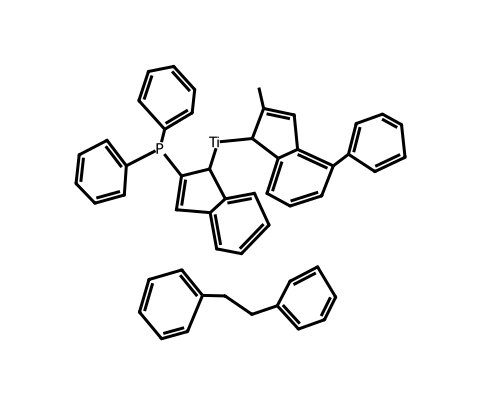 CC1=Cc2c(-c3ccccc3)cccc2[CH]1[Ti][CH]1C(P(c2ccccc2)c2ccccc2)=Cc2ccccc21.c1ccc(CCc2ccccc2)cc1